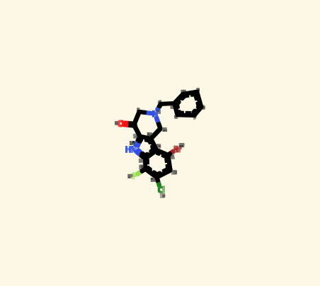 O=C1CN(Cc2ccccc2)Cc2c1[nH]c1c(F)c(Cl)cc(Br)c21